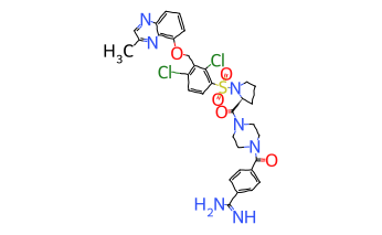 Cc1cnc2cccc(OCc3c(Cl)ccc(S(=O)(=O)N4CCC[C@H]4C(=O)N4CCN(C(=O)c5ccc(C(=N)N)cc5)CC4)c3Cl)c2n1